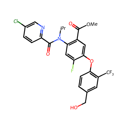 COC(=O)c1cc(Oc2ccc(CO)cc2C(F)(F)F)c(F)cc1N(C(=O)c1ccc(Cl)cn1)C(C)C